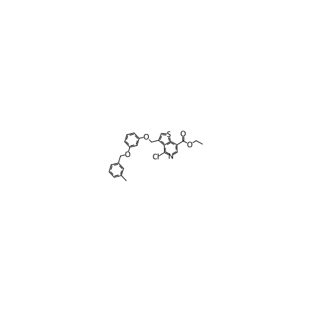 CCOC(=O)c1cnc(Cl)c2c(COc3cccc(OCc4cccc(C)c4)c3)csc12